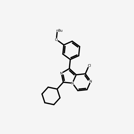 CCCCOc1cccc(-c2nc(C3CCCCC3)n3ccnc(Cl)c23)c1